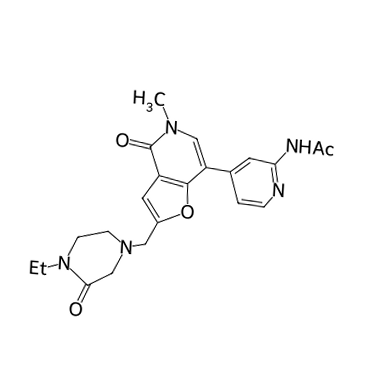 CCN1CCN(Cc2cc3c(=O)n(C)cc(-c4ccnc(NC(C)=O)c4)c3o2)CC1=O